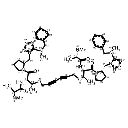 CN[C@@H](C)C(=O)N[C@H](C(=O)N1CCC[C@H]1Cn1nnnc1N(C)Cc1ccccc1)[C@@H](C)OCC#CC#CCO[C@H](C)[C@H](NC(=O)[C@H](C)NC)C(=O)N1CCC[C@H]1Cn1nnnc1N(C)Cc1ccccc1